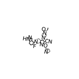 C=CC(=O)N1CCN(c2c(C#N)c(OC[C@@H]3CCCN3C)nc3c2CCN(c2c(F)ccc4[nH]ncc24)C3)CC1